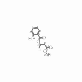 CCc1ccccc1C(=O)OC(C)CC(=O)OC(C)C